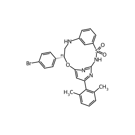 Cc1cccc(C)c1-c1cc2nc(n1)NS(=O)(=O)c1cccc(c1)NC[C@@H](c1ccc(Br)cc1)O2